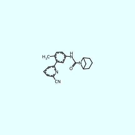 Cc1ccc(NC(=O)N2C3CCCC2C3)cc1-c1cccc(C#N)n1